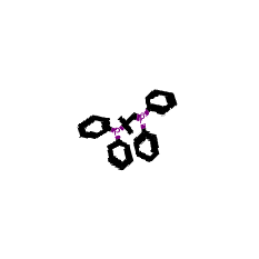 CC(C)(CP(c1ccccc1)c1ccccc1)P(c1ccccc1)c1ccccc1